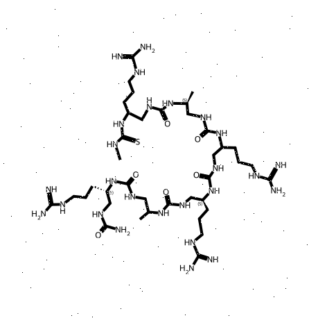 CNC(=S)NC(CCCNC(=N)N)CNC(=O)N[C@@H](C)CNC(=O)NC(CCCNC(=N)N)CNC(=O)N[C@@H](CCCNC(=N)N)CNC(=O)NC(C)CNC(=O)N[C@@H](CCCNC(=N)N)CNC(N)=O